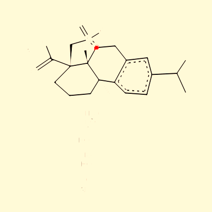 CC(C)c1ccc2c(c1)CC[C@H]1[C@@](CS(=O)(=O)[O-])(C(=O)[O-])CCC[C@]21C.O.O.[Al+3].[Al+3].[OH-].[OH-].[OH-].[OH-]